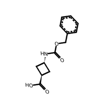 O=C(N[C@H]1C[C@H](C(=O)O)C1)OCc1ccccc1